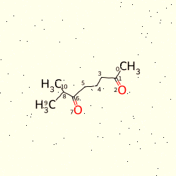 CC(=O)CCCC(=O)C(C)C